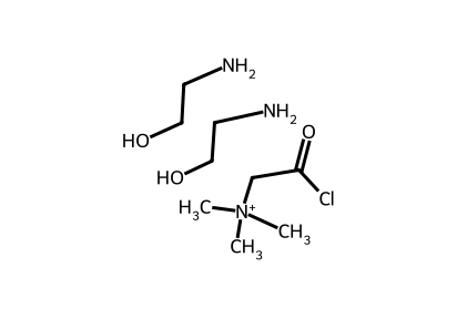 C[N+](C)(C)CC(=O)Cl.NCCO.NCCO